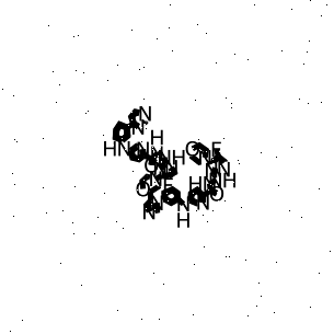 O=C(NNc1ncc(F)c(N2CCOCC2)n1)c1ccc(Nc2cccc(-n3cncc3C3CN(c4nc(NNC(=O)c5ccc(Nc6cccc(-c7ccncn7)c6)cn5)ncc4F)CCO3)c2)cn1